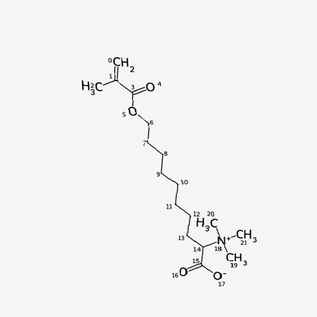 C=C(C)C(=O)OCCCCCCCCC(C(=O)[O-])[N+](C)(C)C